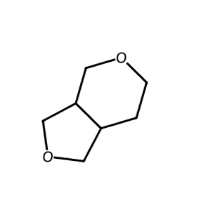 C1CC2COCC2CO1